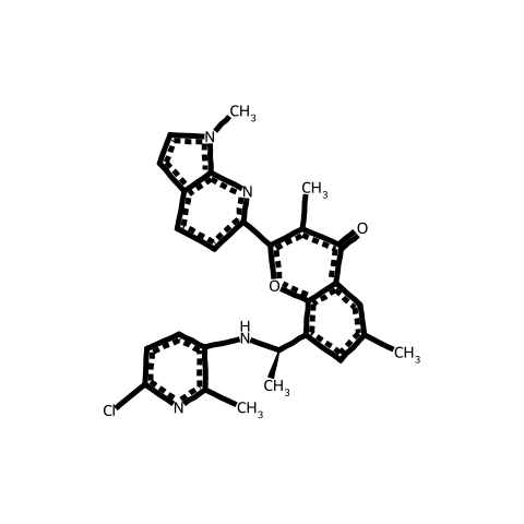 Cc1cc([C@@H](C)Nc2ccc(Cl)nc2C)c2oc(-c3ccc4ccn(C)c4n3)c(C)c(=O)c2c1